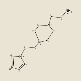 NCCN1CCN(CCn2ccnc2)CC1